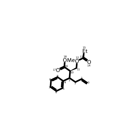 C=CCC(c1ccccc1)[C@H](COC(=O)CC)C(=O)OC